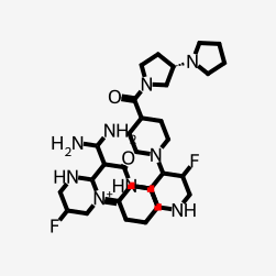 NC(N)C(C(=O)NC1CNCC(F)C1N1CCC(C(=O)N2CC[C@H](N3CCCC3)C2)CC1)C1NCC(F)C[N+]1=C1CCCCC1